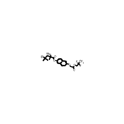 CCC(C)(C)CC(C)(C(=O)Oc1ccc2cc(OCC(=O)OCC(F)(F)C(F)(F)F)ccc2c1)C(C)(C)C